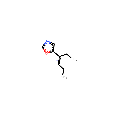 CC/C=C(\CC)c1cnco1